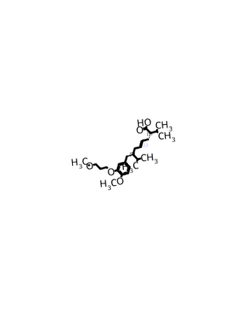 COCCCOc1cc(C[C@@H](C/C=C/C[C@H](C(=O)O)C(C)C)C(C)C)ccc1OC